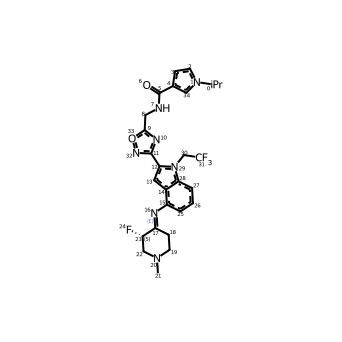 CC(C)n1ccc(C(=O)NCc2nc(-c3cc4c(/N=C5\CCN(C)C[C@@H]5F)cccc4n3CC(F)(F)F)no2)c1